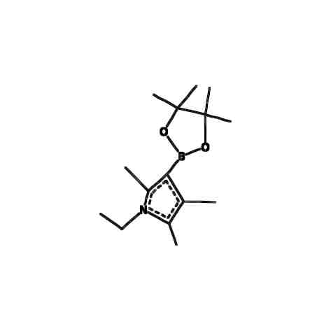 CCn1c(C)c(C)c(B2OC(C)(C)C(C)(C)O2)c1C